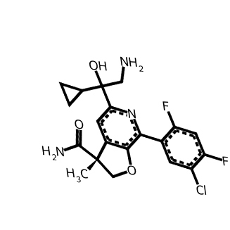 C[C@]1(C(N)=O)COc2c1cc(C(O)(CN)C1CC1)nc2-c1cc(Cl)c(F)cc1F